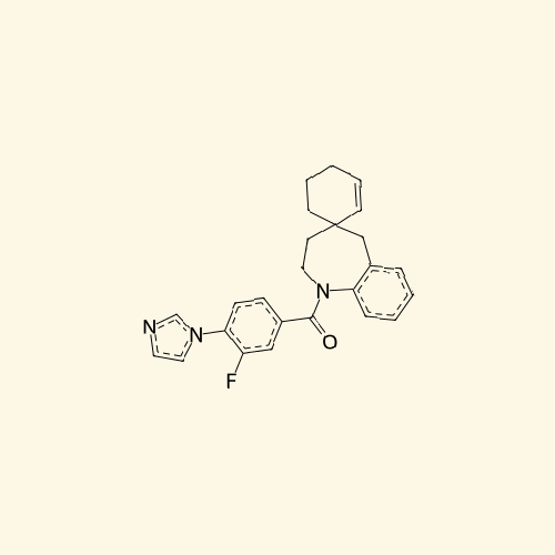 O=C(c1ccc(-n2ccnc2)c(F)c1)N1CCC2(C=CCCC2)Cc2ccccc21